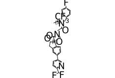 C[C@H](N(Cc1ccc(F)cc1)C(=O)CN1CO[C@]2(C(=O)Cc3cc(-c4ccc(C(F)F)nc4)ccc32)C1=O)C(F)(F)F